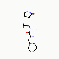 Cl.NC(=O)[C@H](C[C@@H]1CCNC1=O)NC(=O)[C@@H](N)CC1CCCCC1